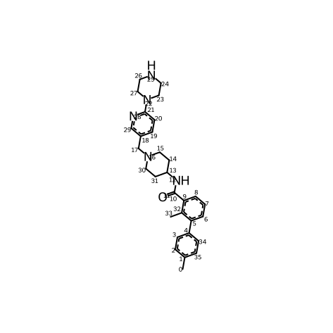 Cc1ccc(-c2cccc(C(=O)NC3CCN(Cc4ccc(N5CCNCC5)nc4)CC3)c2C)cc1